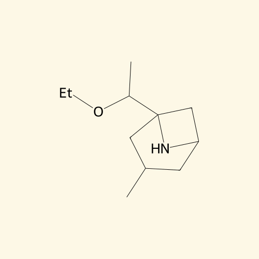 CCOC(C)C12CC(C)CC(C1)N2